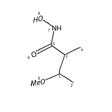 COC(C)C(C)C(=O)NO